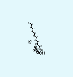 CCCCCCCCCCCCC(CO)S(=O)(=O)[O-].[K+]